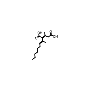 CCCCCC/C=C(C)/C(C(=O)O)=C(/C)CC(=O)O